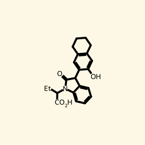 CCC(C(=O)O)N1C(=O)C(c2cc3c(cc2O)CCCC3)c2ccccc21